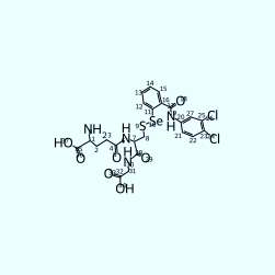 NC(CCC(=O)NC(CS[Se]c1ccccc1C(=O)Nc1ccc(Cl)c(Cl)c1)C(=O)NCC(=O)O)C(=O)O